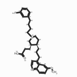 COc1ccc2nccc(CCC[C@@H]3CCN(CCCCc4cccc(F)c4)C[C@@H]3CCC(=O)O)c2c1